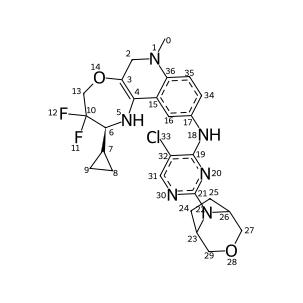 CN1CC2=C(N[C@@H](C3CC3)C(F)(F)CO2)c2cc(Nc3nc(N4C5CCC4COC5)ncc3Cl)ccc21